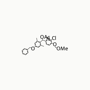 COCOc1ccc(C(OC(C)=O)c2c(C)cc(OCc3ccccc3)cc2C)nc1Cl